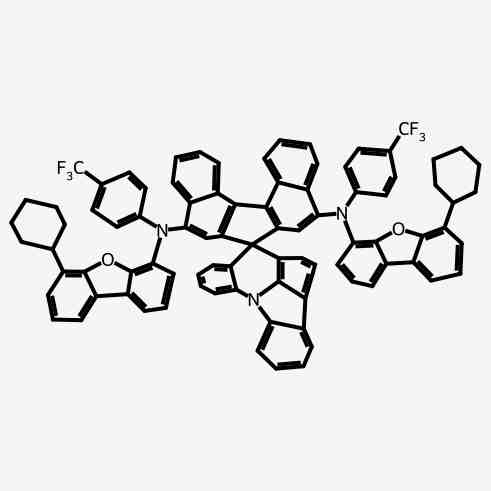 FC(F)(F)c1ccc(N(c2cc3c(c4ccccc24)-c2c(cc(N(c4ccc(C(F)(F)F)cc4)c4cccc5c4oc4c(C6CCCCC6)cccc45)c4ccccc24)C32c3ccccc3-n3c4ccccc4c4cccc2c43)c2cccc3c2oc2c(C4CCCCC4)cccc23)cc1